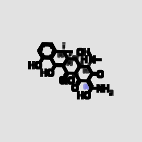 CN(C)[C@@H]1C(=O)/C(=C(\N)O)C(=O)[C@@]2(O)C(=O)C3=C(O)c4c(O)cccc4[C@@]4(C)C[C@]34[C@H](O)[C@@H]12